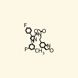 Cc1cc(F)cc(-n2cc(-c3ccc(F)cc3)c([C@H]3OCC(=O)N3CCc3ccc4c(c3)=NC(=O)C=4)n2)c1